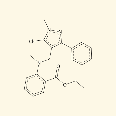 CCOC(=O)c1ccccc1N(C)Cc1c(-c2ccccc2)nn(C)c1Cl